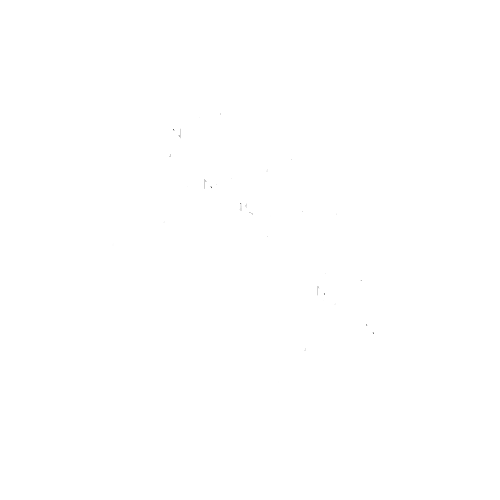 c1cncc(N(c2ccc3ccccc3c2)c2cc3c(c4ccccc24)B2c4c(cccc4Oc4cc(N(c5cccnc5)c5ccc6ccccc6c5)c5ccccc5c42)O3)c1